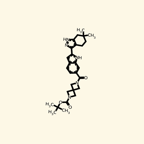 CC1(C)CCc2c(-c3cc4ccc(C(=O)N5CC6(CN(C(=O)OC(C)(C)C)C6)C5)cc4[nH]3)n[nH]c2C1